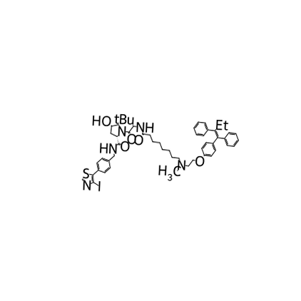 CC/C(=C(\c1ccccc1)c1ccc(OCCN(C)CCCCCCCC(=O)N[C@H](C(=O)N2C[C@H](O)C[C@H]2C(=O)NCc2ccc(-c3scnc3I)cc2)C(C)(C)C)cc1)c1ccccc1